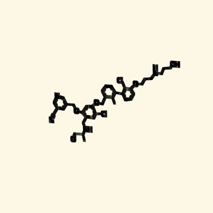 Cc1c(COc2cc(OCc3cncc(C#N)c3)c(CNC(C)C=O)cc2Cl)cccc1-c1cccc(OCCCNCCCO)c1Cl